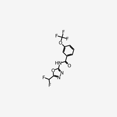 O=C(Nc1nnc(C(F)F)o1)c1cccc(OC(F)(F)F)c1